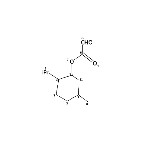 CC1CCC(C(C)C)C(OC(=O)C=O)C1